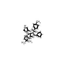 COC(=O)[C@@](Cc1c[nH]cn1)(C(=O)[C@H]1NC(C)(C)CS1)N(Cc1ccccc1)S(=O)(=O)c1ccc(C)cc1